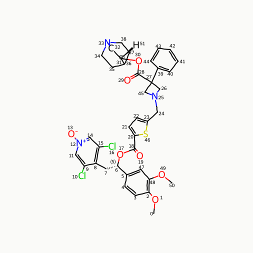 COc1ccc([C@H](Cc2c(Cl)c[n+]([O-])cc2Cl)OC(=O)c2ccc(CN3CC(C(=O)O[C@H]4CN5CCC4CC5)(c4ccccc4)C3)s2)cc1OC